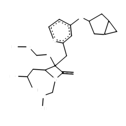 COCOC1(Cc2cc(OC3CC4CC4C3)ccn2)C(=O)N(COC)C1CC(C)C